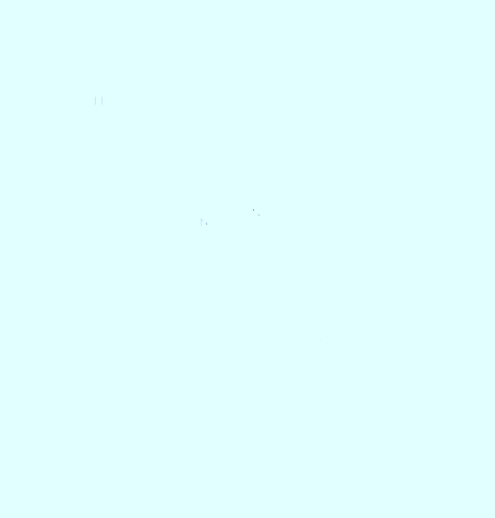 CCCCn1c[n+]2ccccc2c1-c1ccc(C)cc1.c1ccc([B-](c2ccccc2)(c2ccccc2)c2ccccc2)cc1